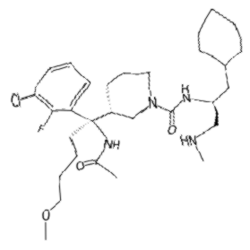 CNC[C@H](CC1CCCCC1)NC(=O)N1CCC[C@@H]([C@@](CCCCOC)(NC(C)=O)c2cccc(Cl)c2F)C1